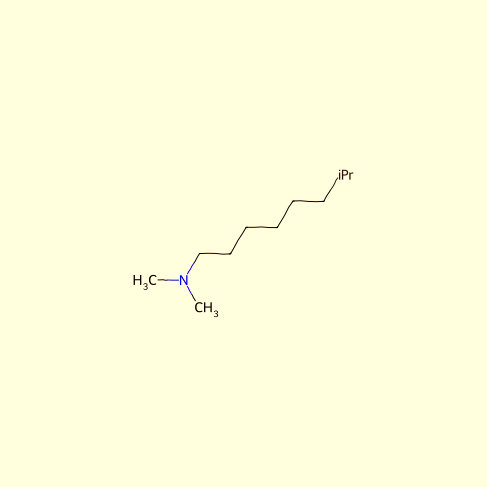 CC(C)CCCCCCN(C)C